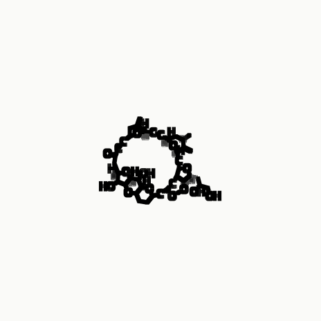 C=C1CC2CCC(=O)C[C@H]3O[C@@H]4C(OC5CCC(CC(=O)CC6C(C[C@H]7O[C@@H](CC[C@@H]1O2)C[C@@H](C)C7=C)O[C@H](CC(O)CO)[C@@H]6OC)O[C@@H]5C4O)C3O